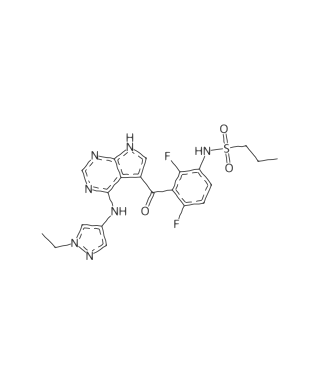 CCCS(=O)(=O)Nc1ccc(F)c(C(=O)c2c[nH]c3ncnc(Nc4cnn(CC)c4)c23)c1F